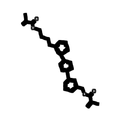 C=C(C)C(=O)OCCCCc1cccc(-c2ccc(-c3cccc(COC(=O)C(=C)C)c3)cc2)c1